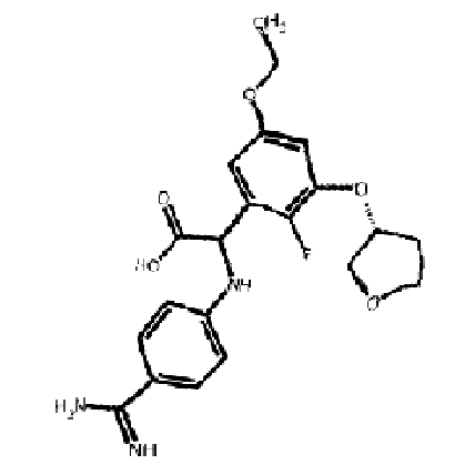 CCOc1cc(O[C@@H]2CCOC2)c(F)c(C(Nc2ccc(C(=N)N)cc2)C(=O)O)c1